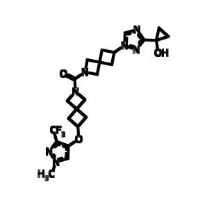 Cn1cc(OC2CC3(C2)CN(C(=O)N2CC4(CC(n5cnc(C6(O)CC6)n5)C4)C2)C3)c(C(F)(F)F)n1